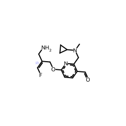 CN(Cc1nc(OC/C(=C\F)CN)ccc1C=O)C1CC1